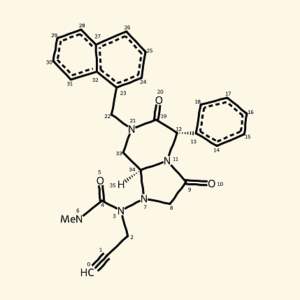 C#CCN(C(=O)NC)N1CC(=O)N2[C@@H](c3ccccc3)C(=O)N(Cc3cccc4ccccc34)C[C@@H]21